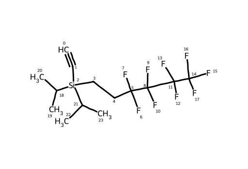 C#C[Si](CCC(F)(F)C(F)(F)C(F)(F)C(F)(F)F)(C(C)C)C(C)C